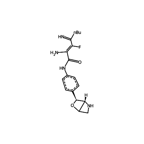 CCCCC(=N)/C(F)=C(\N)C(=O)Nc1ccc([C@@H]2OC3CN[C@H]32)cc1